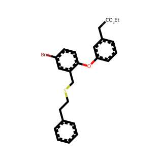 CCOC(=O)Cc1cccc(Oc2ccc(Br)cc2CSCCc2ccccc2)c1